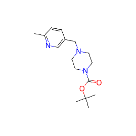 Cc1ccc(CN2CCN(C(=O)OC(C)(C)C)CC2)cn1